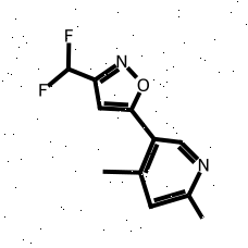 Cc1cc(C)c(-c2cc(C(F)F)no2)cn1